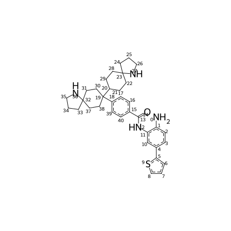 Nc1ccc(-c2cccs2)cc1NC(=O)c1ccc(C2(C3CCC4(CCCN4)CC3)CCC3(CCCN3)CC2)cc1